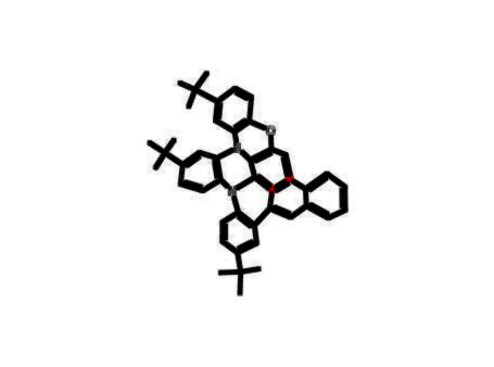 CC(C)(C)c1ccc2c(c1)B1c3cc(C(C)(C)C)ccc3N(c3ccc(C(C)(C)C)cc3-c3ccc4ccccc4c3)c3cccc(c31)O2